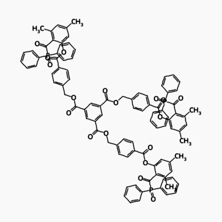 Cc1cc(C)c(C(=O)P(=O)(c2ccccc2)c2ccccc2)c(OC(=O)c2ccc(COC(=O)c3cc(C(=O)OCc4ccc(C(=O)Oc5cc(C)cc(C)c5C(=O)P(=O)(c5ccccc5)c5ccccc5)cc4)cc(C(=O)OCc4ccc(C(=O)Oc5cc(C)cc(C)c5C(=O)P(=O)(c5ccccc5)c5ccccc5)cc4)c3)cc2)c1